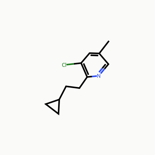 Cc1cnc(CCC2CC2)c(Cl)c1